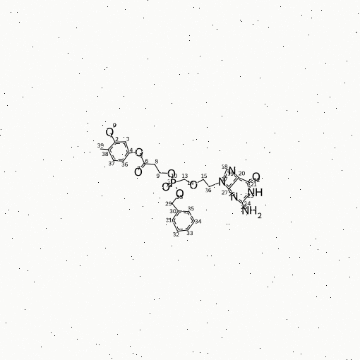 COc1cc(OC(=O)CCOP(=O)(COCCn2cnc3c(=O)[nH]c(N)nc32)OCc2ccccc2)ccc1C